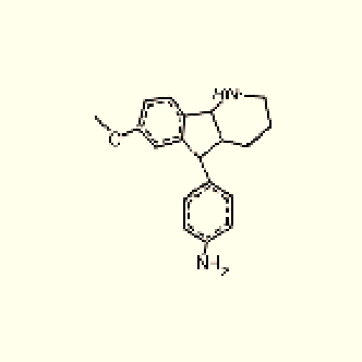 COc1ccc2c(c1)C(c1ccc(N)cc1)C1CCCNC21